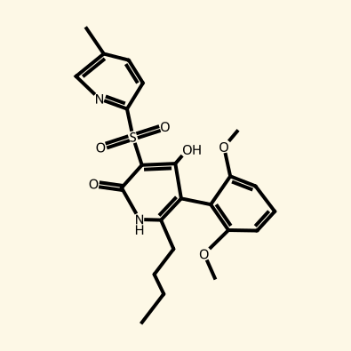 CCCCc1[nH]c(=O)c(S(=O)(=O)c2ccc(C)cn2)c(O)c1-c1c(OC)cccc1OC